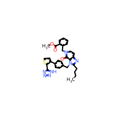 CCCCc1nc2ccn(Cc3ccccc3C(=O)OC)c(=O)c2n1Cc1ccc(-c2ccsc2-c2nnn[nH]2)cc1